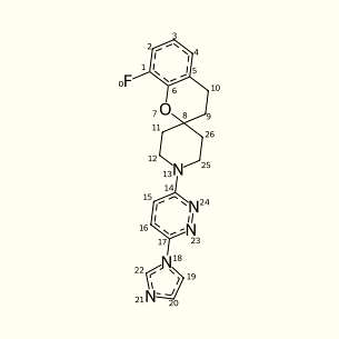 Fc1cccc2c1OC1(CC2)CCN(c2ccc(-n3ccnc3)nn2)CC1